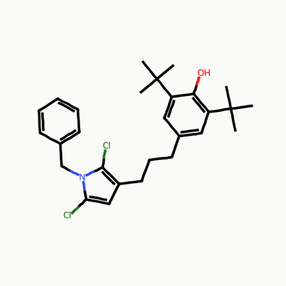 CC(C)(C)c1cc(CCCc2cc(Cl)n(Cc3ccccc3)c2Cl)cc(C(C)(C)C)c1O